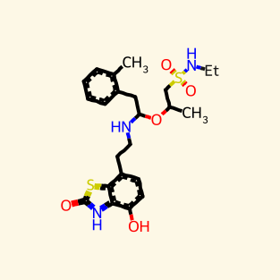 CCNS(=O)(=O)CC(C)OC(Cc1ccccc1C)NCCc1ccc(O)c2[nH]c(=O)sc12